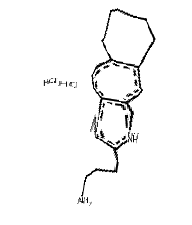 Cl.Cl.NCCc1nc2cc3c(cc2[nH]1)CCCC3